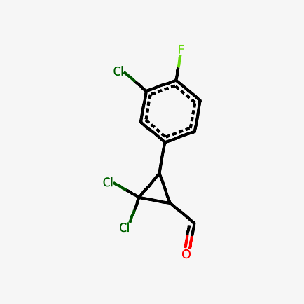 O=CC1C(c2ccc(F)c(Cl)c2)C1(Cl)Cl